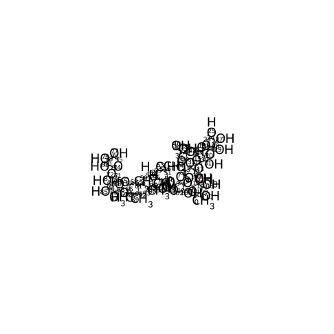 C[C@@H]1O[C@@H](O[C@@H]2[C@@H](O[C@@H]3O[C@@H](C)[C@H](O[C@@H]4OC[C@H](O)[C@H](O[C@@H]5OC[C@@H](O)[C@H](O)[C@H]5O)[C@H]4O)[C@@H](O[C@@H]4OC[C@](O)(CO)[C@H]4O)[C@H]3O)[C@H](OC(=O)[C@]34CCC(C)(C)C[C@H]3C3=CCC5[C@@]6(C)C[C@H](O)[C@H](O[C@@H]7O[C@H](CO[C@@H]8OC[C@H](O)[C@H](O)[C@H]8O)[C@@H](O)[C@H](O)[C@H]7O)C(C)(C)C6CC[C@@]5(C)[C@]3(C)C[C@H]4O)OC[C@H]2O)[C@H](O)[C@H](O)[C@H]1O